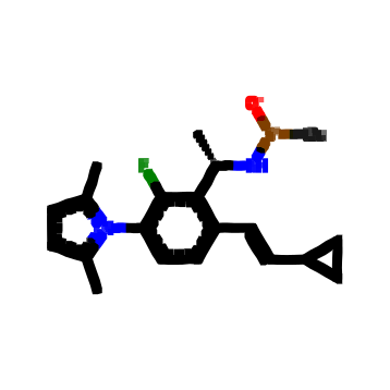 Cc1ccc(C)n1-c1ccc(/C=C/C2CC2)c([C@H](C)N[S+]([O-])C(C)(C)C)c1F